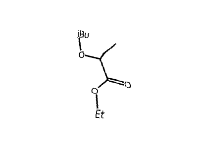 CCOC(=O)C(C)OC(C)CC